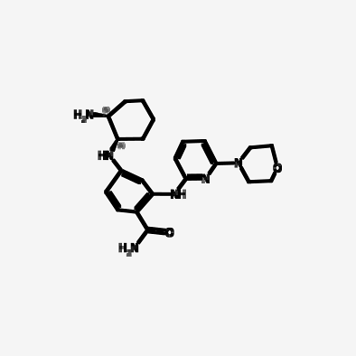 NC(=O)c1ccc(N[C@@H]2CCCC[C@@H]2N)cc1Nc1cccc(N2CCOCC2)n1